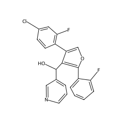 OC(c1cccnc1)c1c(-c2ccc(Cl)cc2F)coc1-c1ccccc1F